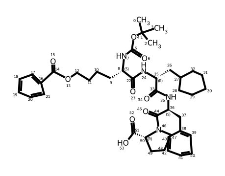 CC(C)(C)OC(=O)N[C@@H](CCCCOC(=O)c1ccccc1)C(=O)N[C@H](CC1CCCCC1)C(=O)N[C@@H](Cc1ccccc1)C(=O)N1CCC[C@@H]1C(=O)O